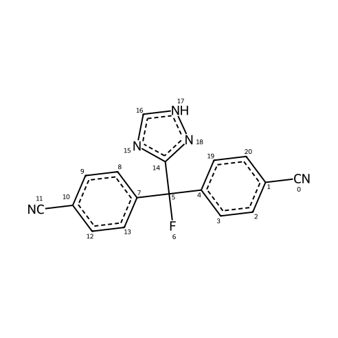 N#Cc1ccc(C(F)(c2ccc(C#N)cc2)c2nc[nH]n2)cc1